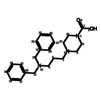 O=C(O)N1CCN(CCCN(Cc2ccccc2)Cc2ccccc2)CC1